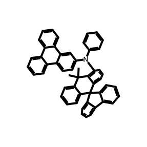 CC1(C)c2ccccc2C2(c3ccccc3-c3ccccc32)c2cccc(N(c3ccccc3)c3ccc4c5ccccc5c5ccccc5c4c3)c21